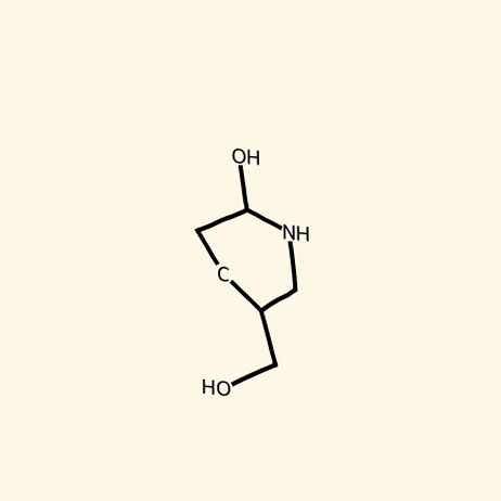 OCC1CCC(O)NC1